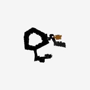 Br.CNC.[Mg+2][c]1ccccc1